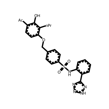 CCCc1c(OCc2ccc(S(=O)(=O)Nc3ccccc3-c3nn[nH]n3)cc2)ccc(C(C)=O)c1O